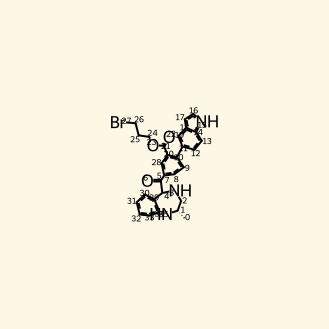 C[C@H]1CNC(C(=O)c2ccc(-c3ccc4[nH]ccc4c3)c(C(=O)OCCCBr)c2)c2ccccc2N1